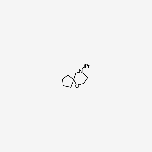 CC(C)N1CCOC2(CCCC2)C1